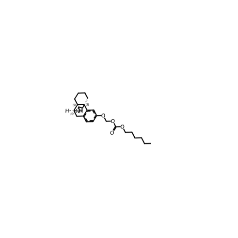 CCCCCCOC(=O)OCOc1ccc2c(c1)[C@]13CCCC[C@@H]1[C@H](C2)NCC3